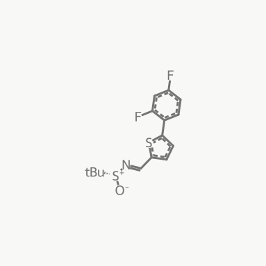 CC(C)(C)[S@@+]([O-])N=Cc1ccc(-c2ccc(F)cc2F)s1